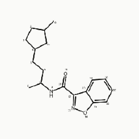 CC1CCC(CCC(C)NC(=O)c2noc3ccccc23)C1